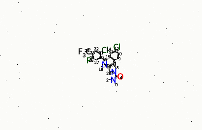 CN(C)C(=O)N1C[C@H](c2ccc(Cl)c(Cl)c2)[C@@H](N(C)Cc2ccc(C(F)(F)F)c(F)c2)C1